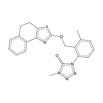 Cc1cccc(-n2nnn(C)c2=O)c1COc1nc2c(s1)CCc1ccccc1-2